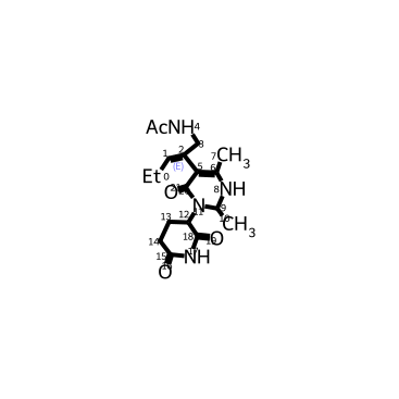 CC/C=C(/CNC(C)=O)C1=C(C)NC(C)N(C2CCC(=O)NC2=O)C1=O